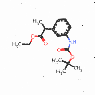 CCOC(=O)C(C)c1cccc(NC(=O)OC(C)(C)C)c1